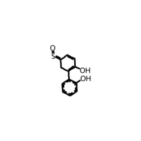 O=S=C1C=CC(O)=C(c2ccccc2O)C1